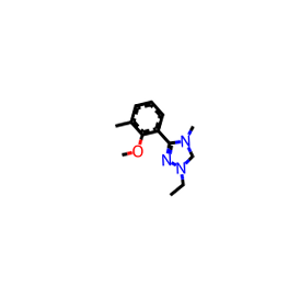 CCN1CN(C)C(c2cccc(C)c2OC)=N1